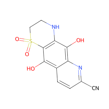 N#Cc1ccc2c(O)c3c(c(O)c2n1)NCCS3(=O)=O